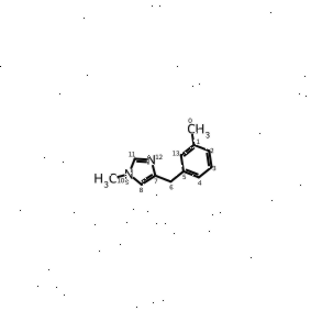 Cc1cccc(Cc2cn(C)cn2)c1